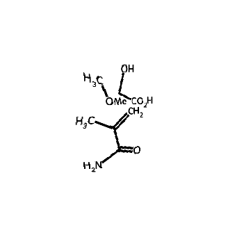 C=C(C)C(N)=O.COC.O=C(O)CO